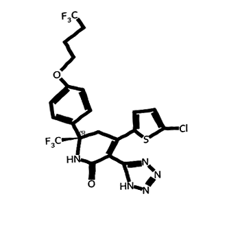 O=C1N[C@@](c2ccc(OCCCC(F)(F)F)cc2)(C(F)(F)F)CC(c2ccc(Cl)s2)=C1c1nnn[nH]1